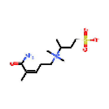 CC(=CCC[N+](C)(C)C(C)CCS(=O)(=O)[O-])C(N)=O